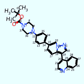 CC(C)(C)OC(=O)N1CCN(c2ccc(-c3ccc4c(-c5ccnc6ccccc56)cnn4c3)cc2)CC1